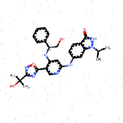 CC(C)n1[nH]c(=O)c2ccc(Nc3cc(N[C@H](CO)c4ccccc4)c(-c4nc(C(C)(C)O)no4)cn3)cc21